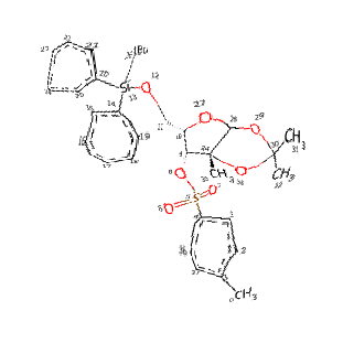 Cc1ccc(S(=O)(=O)O[C@@H]2[C@H](CO[Si](c3ccccc3)(c3ccccc3)C(C)(C)C)OC3OC(C)(C)O[C@@]32C)cc1